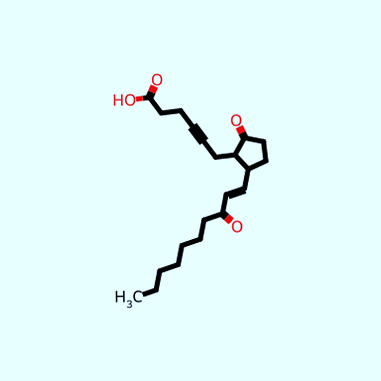 CCCCCCCC(=O)/C=C/C1CCC(=O)C1CC#CCCC(=O)O